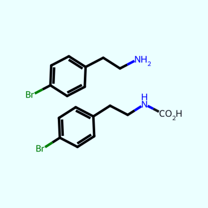 NCCc1ccc(Br)cc1.O=C(O)NCCc1ccc(Br)cc1